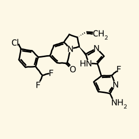 C=C[C@H]1Cc2cc(-c3cc(Cl)ccc3C(F)F)cc(=O)n2[C@@H]1c1ncc(-c2ccc(N)nc2F)[nH]1